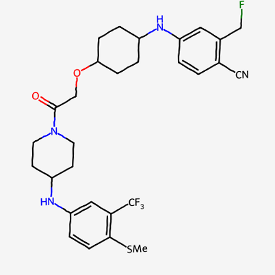 CSc1ccc(NC2CCN(C(=O)COC3CCC(Nc4ccc(C#N)c(CF)c4)CC3)CC2)cc1C(F)(F)F